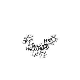 CC(CC(=O)O)c1ccccc1NC(=O)C(CCCNC(=O)OCc1ccccc1Cl)NC(=O)c1cc2ccccc2s1